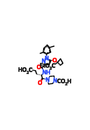 CCOC(=O)C1(Oc2cc(C(=O)N[C@@H](CCC(=O)O)C(=O)N3CCN(C(=O)O)CC3)nn2-c2cc(C)ccc2C)CCC1